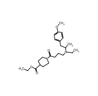 CCOC(=O)C1CCN(C(=O)CCCN(CC)C(C)Cc2ccc(OC)cc2)CC1